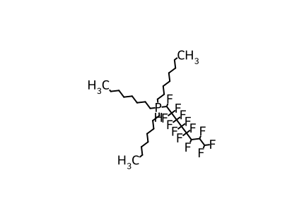 CCCCCCCC[PH](CCCCCCCC)(CCCCCCCC)C(F)C(F)(F)C(F)(F)C(F)(F)C(F)(F)C(F)C(F)C(F)F